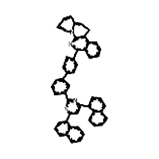 C1=CC2=CCc3c(nc(-c4ccc(-c5cccc(-c6nc(-c7cccc8ccccc78)cc(-c7cccc8ccccc78)n6)c5)cc4)c4ccccc34)N2C=C1